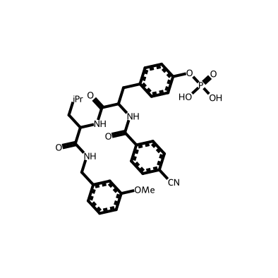 COc1cccc(CNC(=O)C(CC(C)C)NC(=O)C(Cc2ccc(OP(=O)(O)O)cc2)NC(=O)c2ccc(C#N)cc2)c1